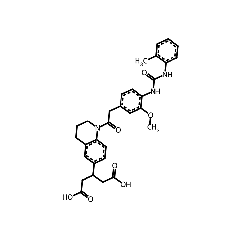 COc1cc(CC(=O)N2CCCc3cc(C(CC(=O)O)CC(=O)O)ccc32)ccc1NC(=O)Nc1ccccc1C